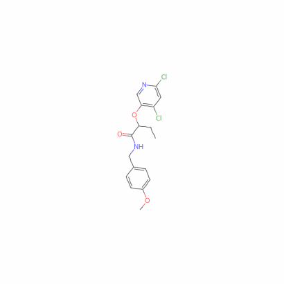 CCC(Oc1cnc(Cl)cc1Cl)C(=O)NCc1ccc(OC)cc1